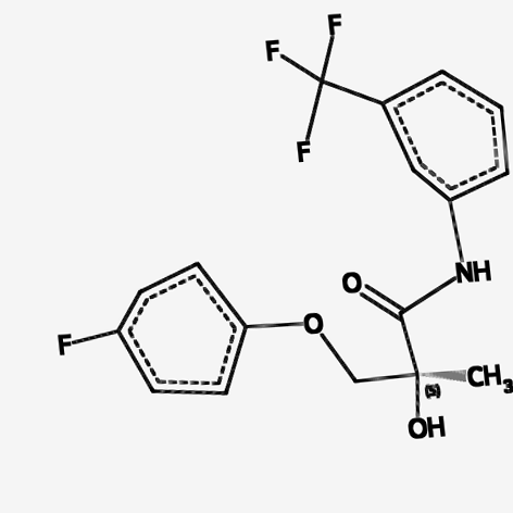 C[C@](O)(COc1ccc(F)cc1)C(=O)Nc1cccc(C(F)(F)F)c1